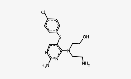 NCCN(CCO)c1nc(N)ncc1Sc1ccc(Cl)cc1